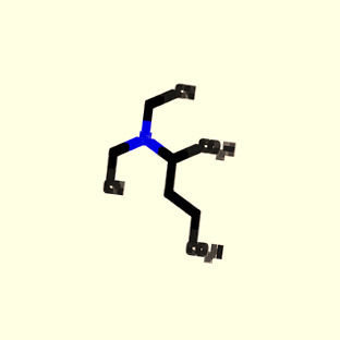 N#CCN(CC#N)C(CCC(=O)O)C(=O)O